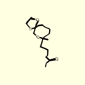 CC(=O)CCCC1(C)CCCC2(CO1)OCCO2